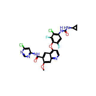 COc1cc2nccc(Oc3c(F)cc(NC(=O)NC4CC4)c(Cl)c3F)c2cc1C(=O)Nc1cc(Cl)ncn1